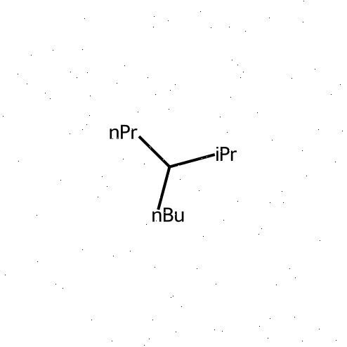 [CH2]CCC(CCCC)C(C)C